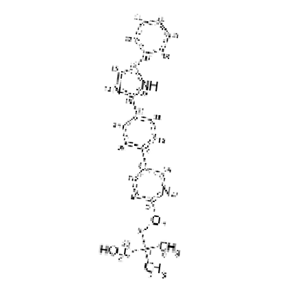 CC(C)(COc1ccc(-c2ccc(-c3ncc(-c4ccccc4)[nH]3)cc2)cn1)C(=O)O